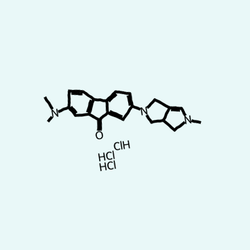 CN1C=C2CN(c3ccc4c(c3)C(=O)c3cc(N(C)C)ccc3-4)CC2C1.Cl.Cl.Cl